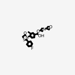 Cc1cc(C(O)OC2CN(C3COC3)C2)ccc1N1C(=O)CSC1c1ccc(F)cc1